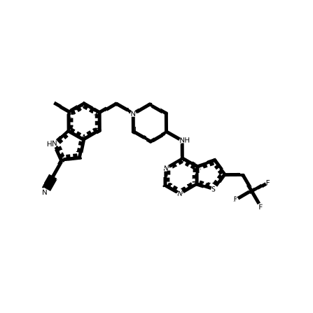 Cc1cc(CN2CCC(Nc3ncnc4sc(CC(F)(F)F)cc34)CC2)cc2cc(C#N)[nH]c12